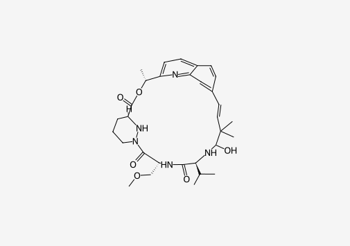 COC[C@H]1NC(=O)[C@H](C(C)C)NC(O)C(C)(C)/C=C/c2ccc3ccc(nc3c2)[C@@H](C)OC(=O)[C@@H]2CCCN(N2)C1=O